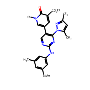 CCOC(=O)c1cc(-c2cnc(Nc3cc(C)cc(OC)c3)nc2-n2nc(C(F)(F)F)cc2C)cn(CC)c1=O